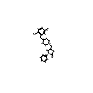 O=C1SC(CN2CCC(Cc3cc(Cl)ccc3Cl)CC2)CN1c1ccccc1